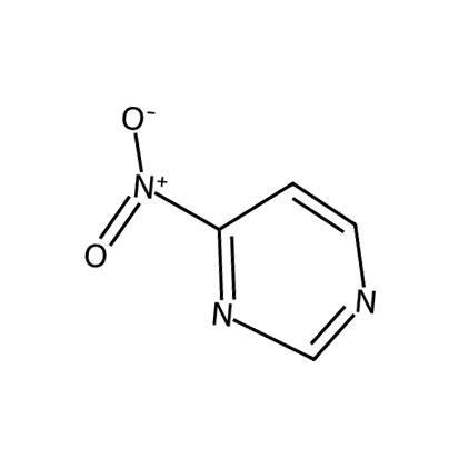 O=[N+]([O-])c1ccncn1